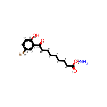 NOC(=O)CCCCCCCC(=O)c1cc(Br)ccc1O